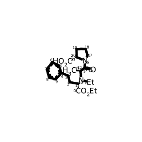 CCOC(=O)[C@H](CCc1ccccc1)N(CC)[C@@H](C)C(=O)N1CCC[C@H]1C(=O)O